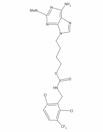 CNc1nc(N)c2ncn(CCCCOC(=O)NCc3c(Cl)ccc(C(F)(F)F)c3Cl)c2n1